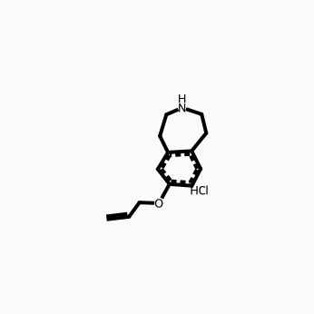 C=CCOc1ccc2c(c1)CCNCC2.Cl